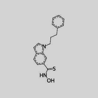 ONC(=S)c1ccc2ccn(CCCc3ccccc3)c2c1